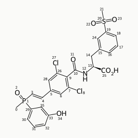 CP(=O)(/C=C/c1cc(Cl)c(C(=O)N[C@@H](Cc2cccc(S(C)(=O)=O)c2)C(=O)O)c(Cl)c1)c1cccc(O)c1